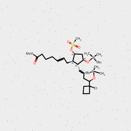 CCC1(C(C/C=C/[C@@H]2[C@@H](C/C=C/CCCC(=O)OC)[C@@H](OS(C)(=O)=O)C[C@H]2O[Si](C)(C)C(C)(C)C)O[Si](C)(C)C(C)(C)C)CCC1